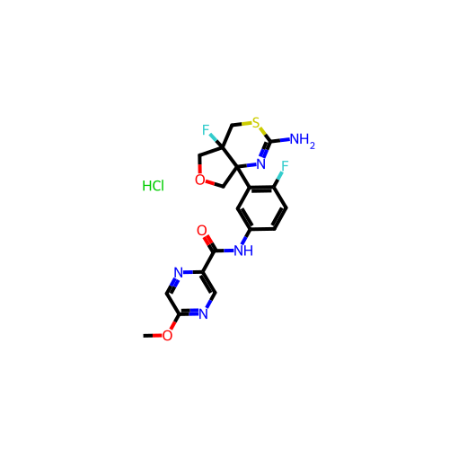 COc1cnc(C(=O)Nc2ccc(F)c(C34COCC3(F)CSC(N)=N4)c2)cn1.Cl